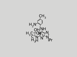 Cc1ccc(CNc2nc(NC(C)C(C)(C)O)nc3c2ncn3C(C)C)c(N)c1